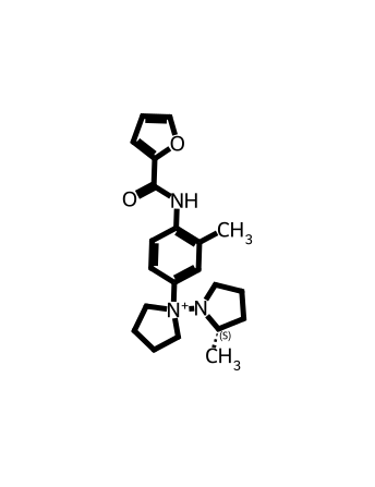 Cc1cc([N+]2(N3CCC[C@@H]3C)CCCC2)ccc1NC(=O)c1ccco1